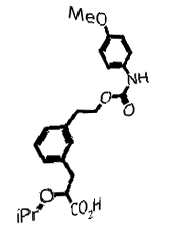 COc1ccc(NC(=O)OCCc2cccc(CC(OC(C)C)C(=O)O)c2)cc1